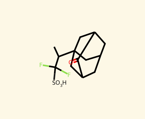 CC(C12CC3CC(C1)C(=O)C(C3)C2)C(F)(F)S(=O)(=O)O